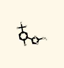 Cc1nc(-c2cc(C(F)(F)F)ccc2Br)co1